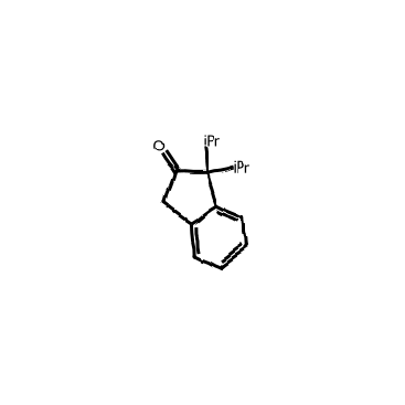 CC(C)C1(C(C)C)C(=O)Cc2ccccc21